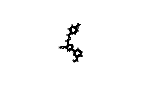 CCc1cc(-c2nc(O)c(COCc3ccc(Br)cc3)s2)ccn1